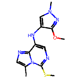 COc1nn(C)cc1Nc1cnc(SC)n2c(C)cnc12